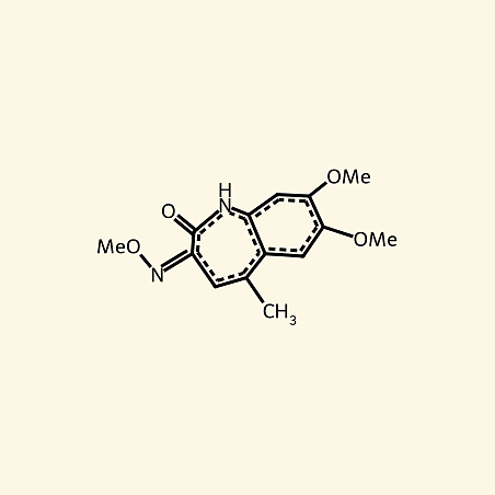 CO/N=c1/cc(C)c2cc(OC)c(OC)cc2[nH]c1=O